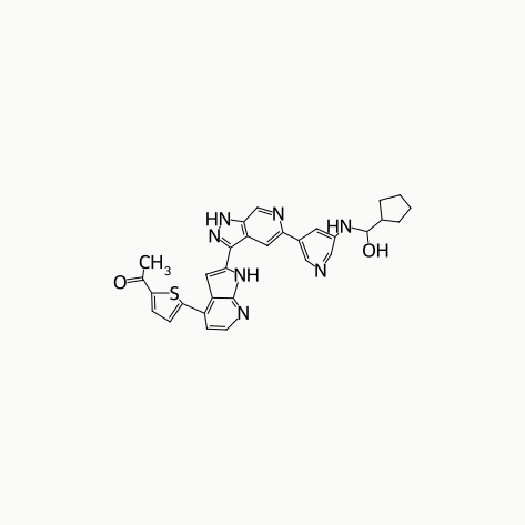 CC(=O)c1ccc(-c2ccnc3[nH]c(-c4n[nH]c5cnc(-c6cncc(NC(O)C7CCCC7)c6)cc45)cc23)s1